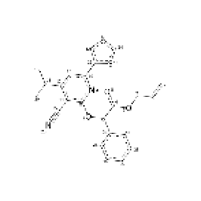 C=CCOC(=O)C(Oc1nc(-c2cccs2)cc(C(C)C)c1C#N)c1ccccc1